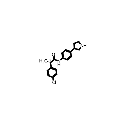 C[C@H](C(=O)Nc1ccc(C2CCNC2)cc1)c1ccc(Cl)cc1